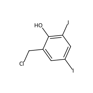 Oc1c(I)cc(I)cc1CCl